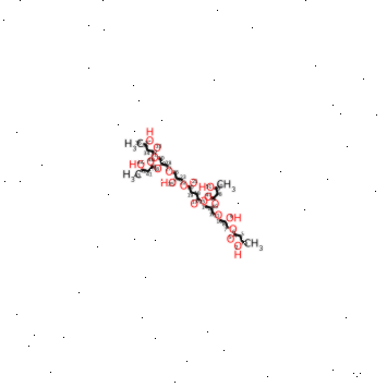 CC(O)CC(=O)OCC(O)COCC(COC(=O)CCC(=O)OCC(O)COCC(COC(=O)CC(C)O)OC(=O)CC(C)O)OC(=O)CC(C)O